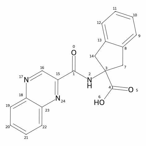 O=C(NC1(C(=O)O)Cc2ccccc2C1)c1cnc2ccccc2n1